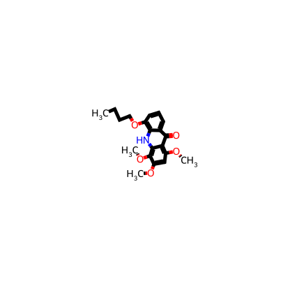 CCCCOc1cccc2c(=O)c3c(OC)cc(OC)c(OC)c3[nH]c12